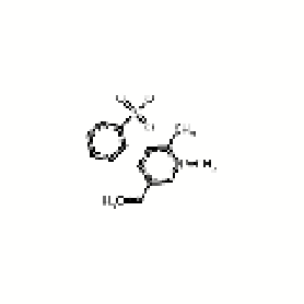 C=Cc1ccc(C)[n+](C)c1.O=S(=O)([O-])c1ccccc1